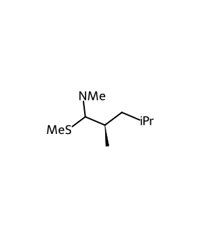 CNC(SC)[C@H](C)CC(C)C